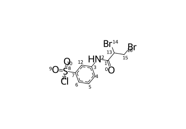 O=C(Nc1cccc(S(=O)(=O)Cl)c1)C(Br)CBr